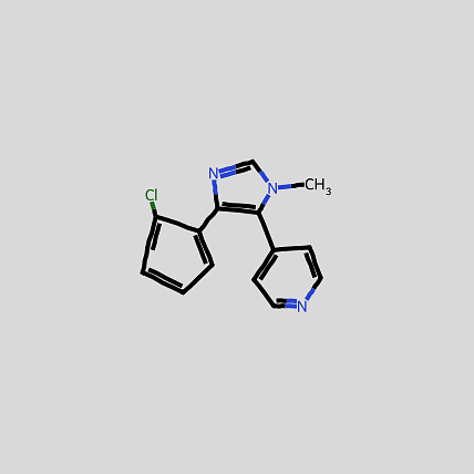 Cn1cnc(-c2ccccc2Cl)c1-c1ccncc1